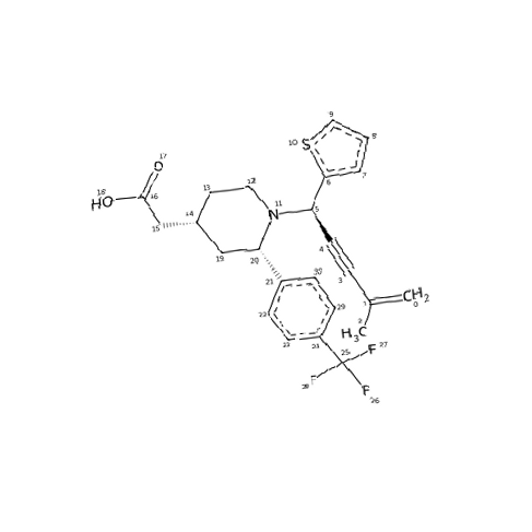 C=C(C)C#C[C@H](c1cccs1)N1CC[C@@H](CC(=O)O)C[C@H]1c1ccc(C(F)(F)F)cc1